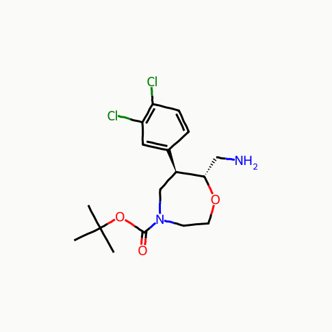 CC(C)(C)OC(=O)N1CCO[C@@H](CN)[C@H](c2ccc(Cl)c(Cl)c2)C1